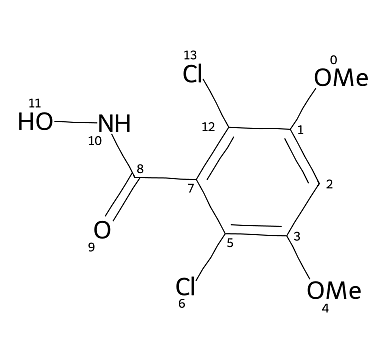 COc1cc(OC)c(Cl)c(C(=O)NO)c1Cl